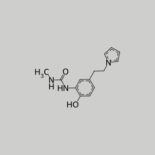 CNC(=O)Nc1cc(CCn2cccc2)ccc1O